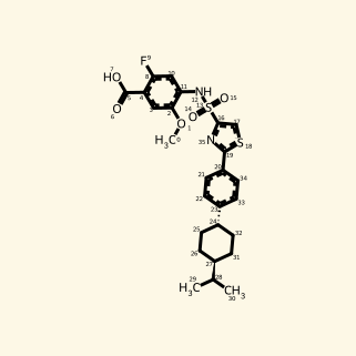 COc1cc(C(=O)O)c(F)cc1NS(=O)(=O)c1csc(-c2ccc([C@H]3CC[C@H](C(C)C)CC3)cc2)n1